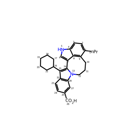 CCCc1ccc2[nH]cc3c2c1CCCn1c-3c(C2CCCCC2)c2ccc(C(=O)O)cc21